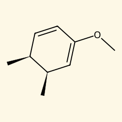 COC1=C[C@@H](C)[C@@H](C)C=C1